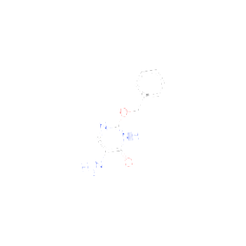 Nc1cnc(OCc2ccccc2)[nH]c1=O